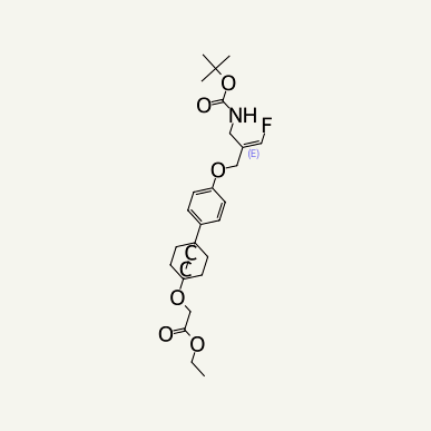 CCOC(=O)COC12CCC(c3ccc(OC/C(=C/F)CNC(=O)OC(C)(C)C)cc3)(CC1)CC2